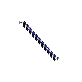 P#C\P=P/P=P\P=P/P=P\P=P/P=P\P=P/P=P\P=P/P=P\P=P/P=P\P=P/P=P\P=P/P=P\P=P/P=P\P=P/P=P\P=P/P=P